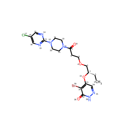 CC[C@@H](COCCC(=O)N1CCN(c2ncc(Cl)cn2)CC1)Oc1cn[nH]c(=O)c1Br